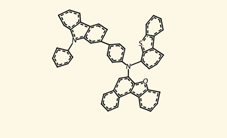 c1ccc(-n2c3ccccc3c3ccc(-c4ccc(N(c5cc6ccccc6c6c5oc5ccccc56)c5cccc6c5sc5ccccc56)cc4)cc32)cc1